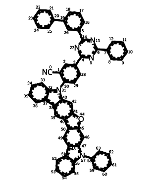 N#Cc1cc(-c2nc(-c3ccccc3)nc(-c3cccc(-c4ccccc4)c3)n2)ccc1-n1c2ccccc2c2cc3c(cc21)oc1cc2c(cc13)c1ccccc1n2-c1ccccc1